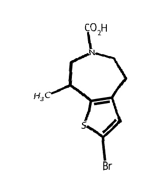 CC1CN(C(=O)O)CCc2cc(Br)sc21